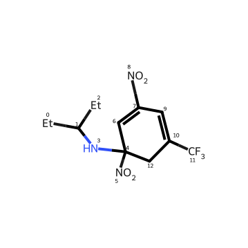 CCC(CC)NC1([N+](=O)[O-])C=C([N+](=O)[O-])C=C(C(F)(F)F)C1